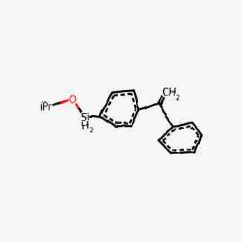 C=C(c1ccccc1)c1ccc([SiH2]OC(C)C)cc1